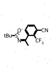 C/C(=N/[S+]([O-])C(C)(C)C)c1cccc(C#N)c1C(F)(F)F